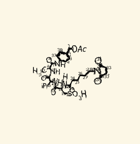 CC(=O)OCc1ccc(NC(=O)[C@H](C)NC(=O)C(NC(=O)[C@H](CS(=O)(=O)O)NC(=O)CCCCCN2C(=O)C=CC2=O)C(C)C)cc1